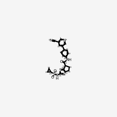 N#Cc1cncc(-c2ccc(NC(=O)C3CCc4nc(NS(=O)(=O)C5CC5)sc43)cc2)c1